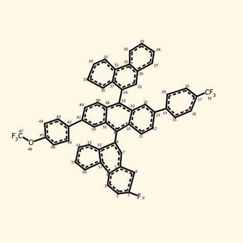 Fc1ccc2c(c1)cc(-c1c3ccc(-c4ccc(C(F)(F)F)cc4)cc3c(-c3cc4ccccc4c4ccccc34)c3ccc(-c4ccc(OC(F)(F)F)cc4)cc13)c1ccccc12